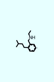 CCNCc1c[c]ccc1CCC(C)C